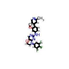 COc1cc(Nc2ncc3c(n2)N(c2cc(F)c(F)c(F)c2)CCO3)ccc1-c1ccnc(C)c1